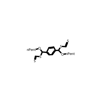 CCCCCOC(SC=S)c1ccc(C(OCCCCC)SC=S)cc1